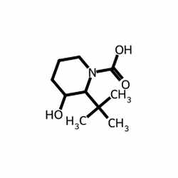 CC(C)(C)C1C(O)CCCN1C(=O)O